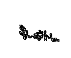 COC(=O)CCNC(=O)[C@@H]1OP(=O)(OCOC(=O)[C@@H]2COC(=O)N2C(=O)OC(C)(C)C)OCC1(C)C